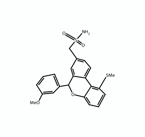 COc1cccc(C2Oc3cccc(SC)c3-c3ccc(CS(N)(=O)=O)cc32)c1